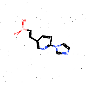 OB(O)/C=C/c1ccc(-n2ccnc2)nc1